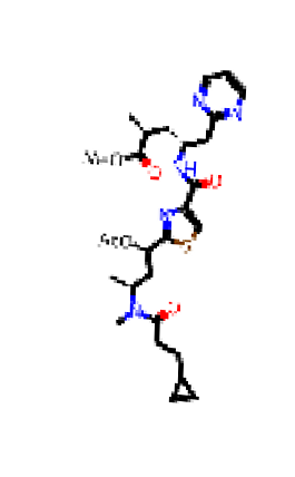 COC(=O)[C@@H](C)C[C@H](Cc1ncccn1)NC(=O)c1csc([C@@H](C[C@H](C)N(C)C(=O)CCC2CC2)OC(C)=O)n1